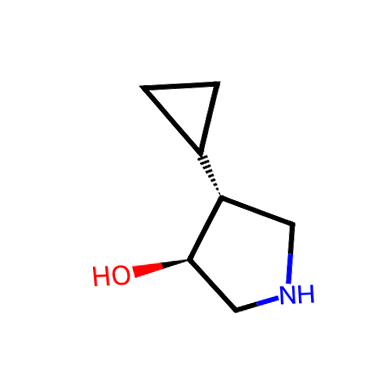 O[C@@H]1CNC[C@H]1C1CC1